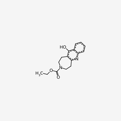 CCOC(=O)N1CCc2nc3ccccc3c(O)c2CC1